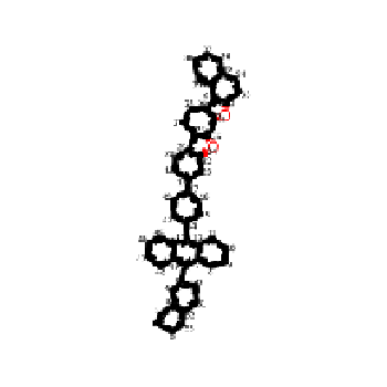 c1ccc2cc(-c3c4ccccc4c(-c4ccc(-c5ccc6c(c5)oc5c6ccc6c5oc5ccc7ccccc7c56)cc4)c4ccccc34)ccc2c1